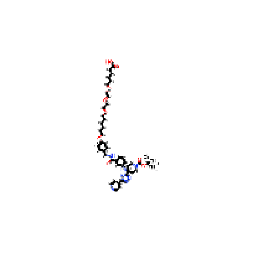 CC(C)(C)OC(=O)N1CCC(Nc2cccc(C(=O)NCc3ccc(OCCCCCCOCCOCCOCCCCCC(=O)O)cc3)c2)(c2nnc(-c3ccncc3)[nH]2)CC1